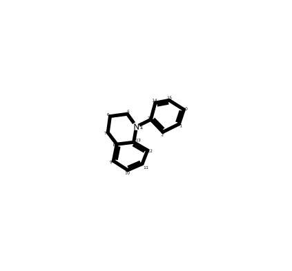 c1ccc(N2CCCc3ccccc32)cc1